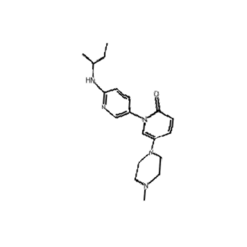 CCC(C)Nc1ccc(-n2cc(N3CCN(C)CC3)ccc2=O)cn1